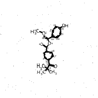 CON=C(OC(=O)c1ccc(C(=O)C(C)(C)C)cc1)c1ccc(O)cc1